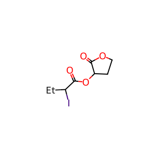 CCC(I)C(=O)OC1CCOC1=O